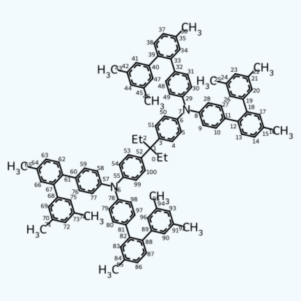 CCC(CC)(c1ccc(N(c2ccc(-c3ccc(C)cc3-c3cc(C)cc(C)c3)cc2)c2ccc(-c3cc(C)ccc3-c3cc(C)cc(C)c3)cc2)cc1)c1ccc(N(c2ccc(-c3ccc(C)cc3-c3cc(C)cc(C)c3)cc2)c2ccc(-c3cc(C)ccc3-c3cc(C)cc(C)c3)cc2)cc1